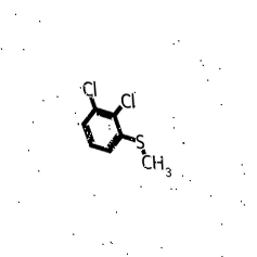 CSc1cc[c]c(Cl)c1Cl